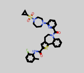 Cc1cccc(F)c1NC(=O)c1cc2c(s1)-c1ccccc1N(C(=O)c1cccc(N3CCCN(S(=O)(=O)C4CC4)CC3)n1)CC2